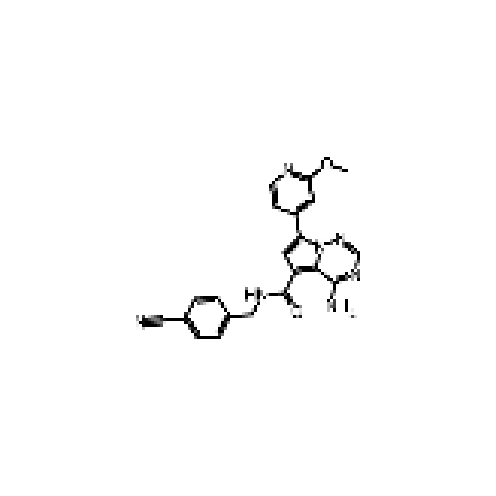 COc1cc(-c2cc(C(=O)NCc3ccc(C#N)cc3)c3c(N)ncnn23)ccn1